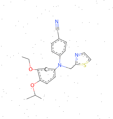 CCOc1cc(N(Cc2nccs2)c2ccc(C#N)cc2)ccc1OC(C)C